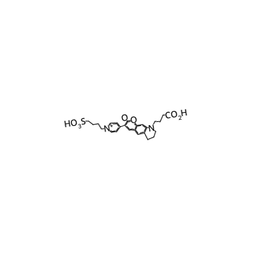 O=C(O)CCCN1CCCc2cc3cc(-c4cc[n+](CCCCS(=O)(=O)O)cc4)c(=O)oc3cc21